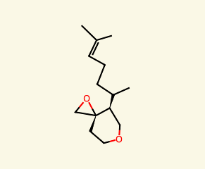 CC(C)=CCCC(C)[C@H]1COCC[C@]12CO2